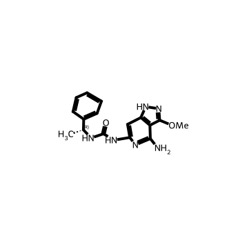 COc1n[nH]c2cc(NC(=O)N[C@H](C)c3ccccc3)nc(N)c12